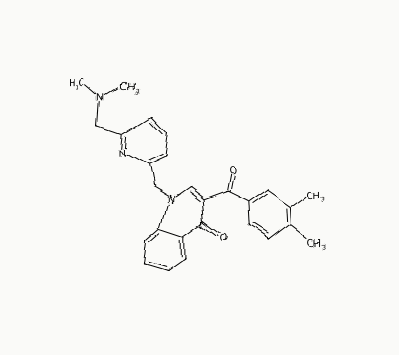 Cc1ccc(C(=O)c2cn(Cc3cccc(CN(C)C)n3)c3ccccc3c2=O)cc1C